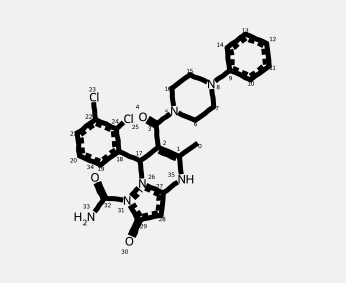 CC1=C(C(=O)N2CCN(c3ccccc3)CC2)C(c2cccc(Cl)c2Cl)n2c(cc(=O)n2C(N)=O)N1